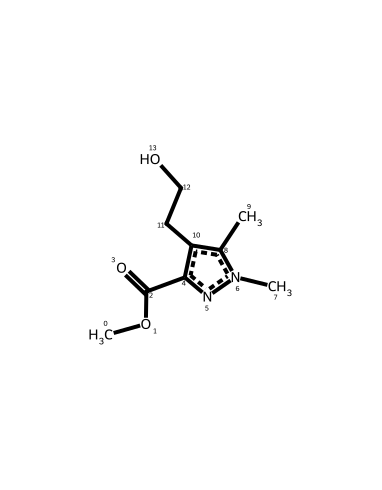 COC(=O)c1nn(C)c(C)c1CCO